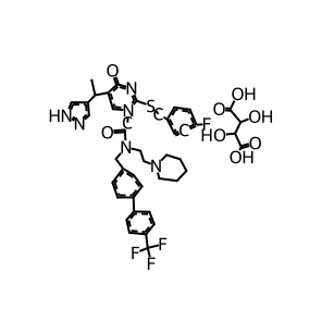 CC(c1cn[nH]c1)c1cn(CC(=O)N(CCN2CCCCC2)Cc2ccc(-c3ccc(C(F)(F)F)cc3)cc2)c(SCc2ccc(F)cc2)nc1=O.O=C(O)C(O)C(O)C(=O)O